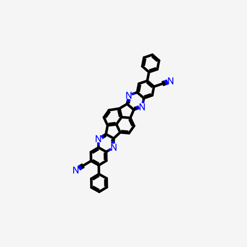 N#Cc1cc2nc3c(nc2cc1-c1ccccc1)-c1ccc2c4c(ccc-3c14)-c1nc3cc(-c4ccccc4)c(C#N)cc3nc1-2